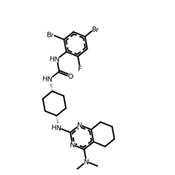 CN(C)c1nc(N[C@H]2CC[C@@H](NC(=O)Nc3c(F)cc(Br)cc3Br)CC2)nc2c1CCCC2